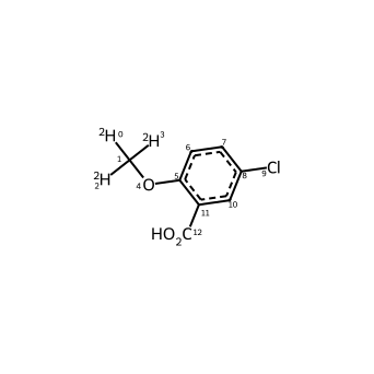 [2H]C([2H])([2H])Oc1ccc(Cl)cc1C(=O)O